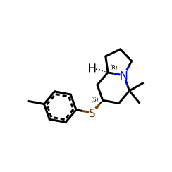 Cc1ccc(S[C@H]2C[C@H]3CCCN3C(C)(C)C2)cc1